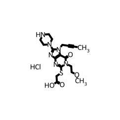 CC#CCn1c(N2CCNCC2)nc2nc(SCC(=O)O)n(CCOC)c(=O)c21.Cl